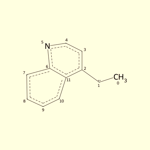 C[C]c1ccnc2ccccc12